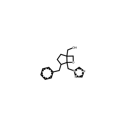 OCC12CCC(Cc3ccccc3)C1(Cn1cncn1)OC2